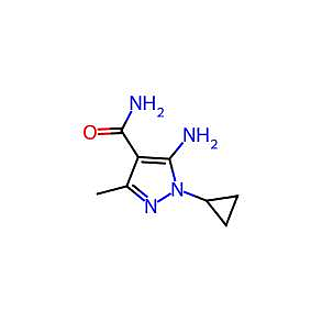 Cc1nn(C2CC2)c(N)c1C(N)=O